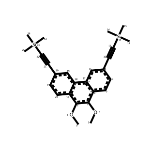 COc1c(OC)c2ccc(C#C[Si](C)(C)C)cc2c2cc(C#C[Si](C)(C)C)ccc12